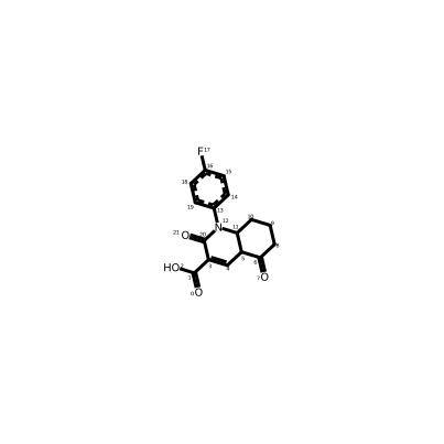 O=C(O)C1=CC2C(=O)CCCC2N(c2ccc(F)cc2)C1=O